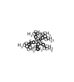 CC(C)(C)c1ccc(N2B3c4sc5cc6c(cc5c4-n4c5ccc(C(C)(C)C)cc5c5c7c(oc8ccccc87)c(c3c54)-c3cc4c(cc32)sc2cc3c(cc24)C(C)(C)CCC3(C)C)C(C)(C)CCC6(C)C)cc1